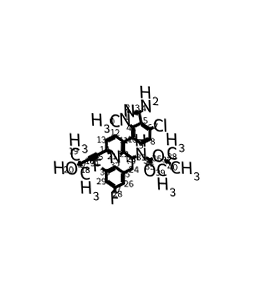 Cn1nc(N)c2c(Cl)ccc(-c3ccc(C#CC(C)(C)O)nc3[C@H](Cc3cc(F)cc(F)c3)NC(=O)OC(C)(C)C)c21